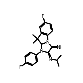 CC(C)/N=C1\C(=N)N2c3ccc(F)cc3C(C)(C)C2N1c1ccc(F)cc1